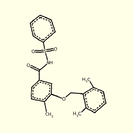 Cc1ccc(C(=O)NS(=O)(=O)c2ccccc2)cc1OCc1c(C)cccc1C